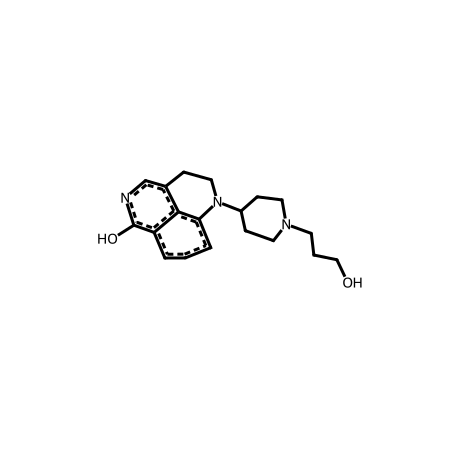 OCCCN1CCC(N2CCc3cnc(O)c4cccc2c34)CC1